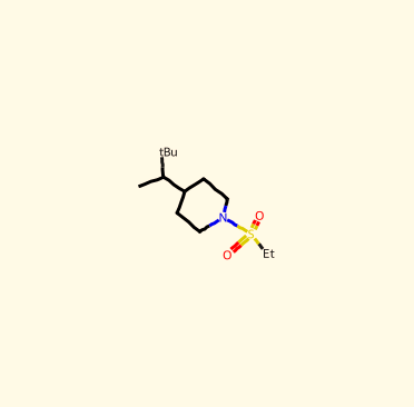 CCS(=O)(=O)N1CCC(C(C)C(C)(C)C)CC1